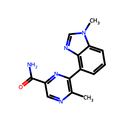 Cc1ncc(C(N)=O)nc1-c1cccc2c1ncn2C